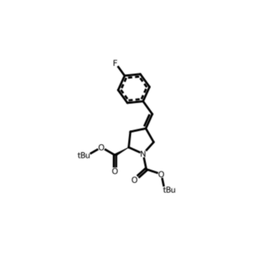 CC(C)(C)OC(=O)[C@H]1C/C(=C\c2ccc(F)cc2)CN1C(=O)OC(C)(C)C